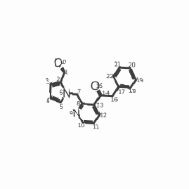 O=Cc1cccn1Cc1ncccc1C(=O)Cc1ccccc1